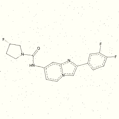 O=C(Nc1ccn2cc(-c3ccc(F)c(F)c3)nc2c1)N1CC[C@H](F)C1